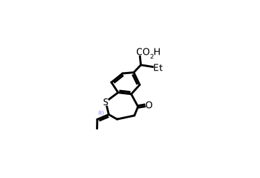 C/C=C1\CCC(=O)c2cc(C(CC)C(=O)O)ccc2S1